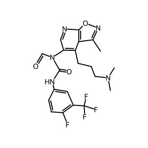 Cc1noc2ncc(N(C=O)C(=O)Nc3ccc(F)c(C(F)(F)F)c3)c(CCCN(C)C)c12